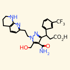 NC(=O)c1c(C(CC(=O)O)c2cccc(C(F)(F)F)c2)nn(CCc2ccc3c(n2)NCCC3)c1CO